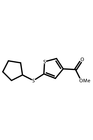 COC(=O)c1csc(SC2CCCC2)c1